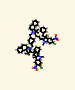 CN1/C(=C/C=C/C2=[N+](Cc3ccc(C[N+]4=C(/C=C/C=C5/N(C)c6cc(Br)c([N+](=O)[O-])cc6C5(C)Cc5ccccc5)C(C)(C)c5c4ccc4ccccc54)cc3)c3ccc4ccccc4c3C2(C)C)C(C)(Cc2ccccc2)c2cc([N+](=O)[O-])c(Br)cc21